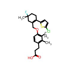 Cc1c(CCC(=O)O)ccc(OCC2=C(c3ccc(Cl)s3)CCC(C)(F)C2)c1C